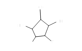 CC1C(C)C(F)C(F)C1C